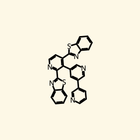 c1cncc(-c2cncc(-c3c(-c4nc5ccccc5s4)ccnc3-c3nc4ccccc4s3)c2)c1